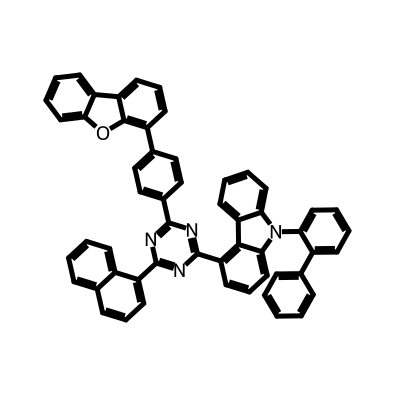 c1ccc(-c2ccccc2-n2c3ccccc3c3c(-c4nc(-c5ccc(-c6cccc7c6oc6ccccc67)cc5)nc(-c5cccc6ccccc56)n4)cccc32)cc1